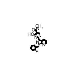 COC(=O)c1cnc(-c2nn(Cc3ccccc3F)c3ncccc23)nc1O